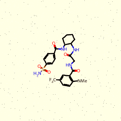 CNc1ccc(C(F)(F)F)cc1C(=O)NCC(=O)NC1CCCCC1NC(=O)c1ccc(S(N)(=O)=O)cc1